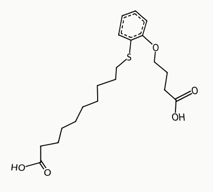 O=C(O)CCCCCCCCCSc1ccccc1OCCCC(=O)O